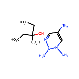 NC1=CN(N)N(N)N=C1.O=C(O)CC(O)(CC(=O)O)C(=O)O